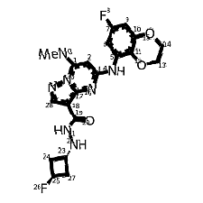 CNc1cc(Nc2cc(F)cc3c2OCCO3)nc2c(C(=O)NN[C@H]3C[C@H](F)C3)cnn12